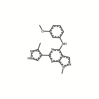 COc1cccc(Nc2nc(-c3c[nH]nc3C)nc3c2cnn3C)c1